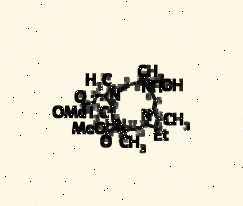 CCC1=C(C)c2cc3[nH]c(cc4nc(c(C)c5[nH]c(cc1n2)c(C)c5C(=O)OC)[C@@H](CCC(=O)OC)[C@@H]4C)c(C)c3CO